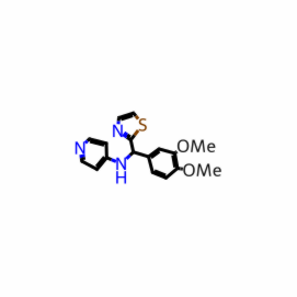 COc1ccc(C(Nc2ccncc2)c2nccs2)cc1OC